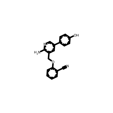 N#Cc1ccccc1OCc1cc(-c2ccc(O)cc2)cnc1N